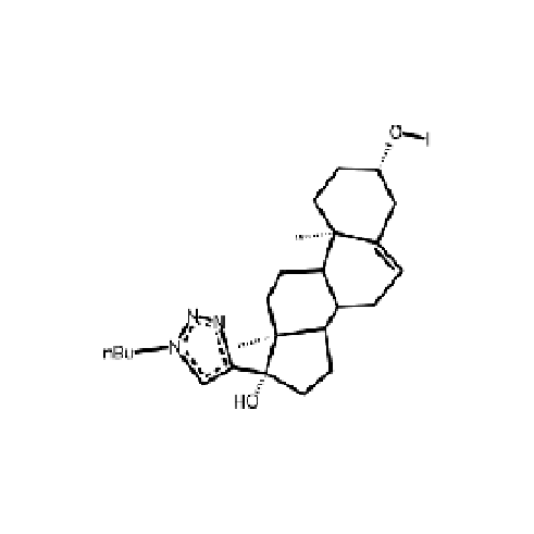 CCCCn1cc([C@]2(O)CCC3C4CC=C5C[C@@H](OI)CC[C@]5(C)C4CC[C@@]32C)nn1